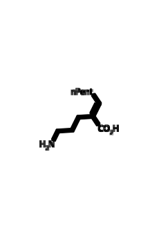 CCCCCC=C(CCCN)C(=O)O